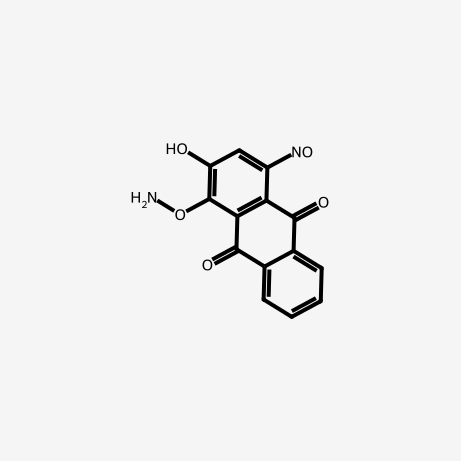 NOc1c(O)cc(N=O)c2c1C(=O)c1ccccc1C2=O